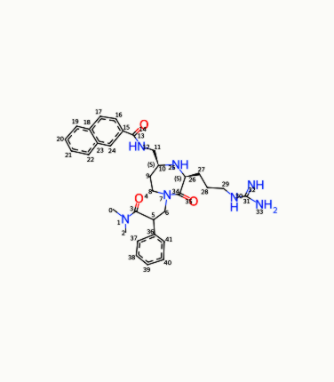 CN(C)C(=O)C(CN1CC[C@@H](CNC(=O)c2ccc3ccccc3c2)N[C@@H](CCCNC(=N)N)C1=O)c1ccccc1